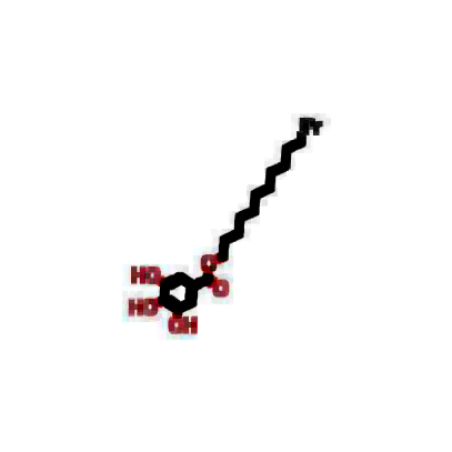 CC(C)CCCCCCCCCCCOC(=O)c1cc(O)c(O)c(O)c1